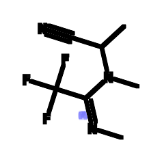 C/N=C(\N(C)C(C)C#N)C(F)(F)F